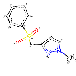 Cn1ccc(CS(=O)(=O)c2ccccc2)n1